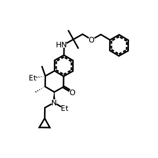 CCN(CC1CC1)[C@@H]1C(=O)c2ccc(NC(C)(C)COCc3ccccc3)cc2[C@@](C)(CC)[C@H]1C